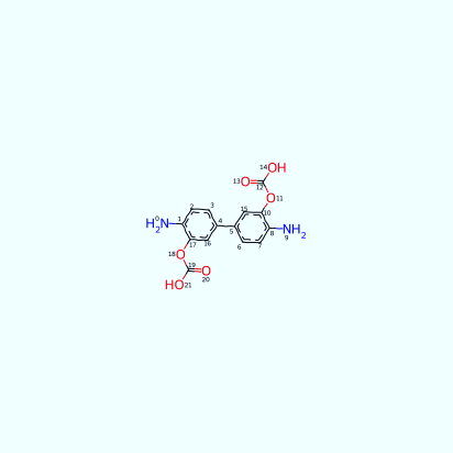 Nc1ccc(-c2ccc(N)c(OC(=O)O)c2)cc1OC(=O)O